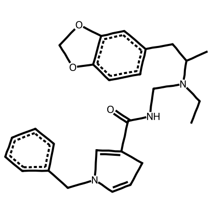 CCN(CNC(=O)C1=CN(Cc2ccccc2)C=CC1)C(C)Cc1ccc2c(c1)OCO2